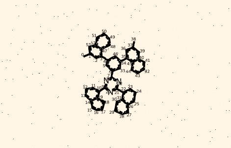 Cc1cc(-c2cc(-c3nc(-c4cccc5ccccc45)nc(-c4cccc5ccccc45)n3)cc(-c3cc(C)cc4ccccc34)c2)c2ccccc2c1